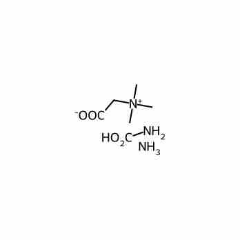 C[N+](C)(C)CC(=O)[O-].N.NC(=O)O